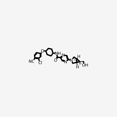 N#Cc1ccc(OC2CCC(NC(=O)c3cnc(N4C[C@@H]5[C@@H](CO)[C@@H]5C4)cn3)CC2)cc1Cl